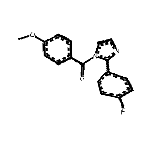 COc1ccc(C(=O)n2ccnc2-c2ccc(F)cc2)cc1